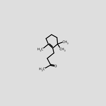 CC(=O)CCC1=C(C)CCCC1(C)C